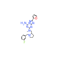 CN(CC1CCCN1Cc1cccc(F)c1)c1nc(N)n2nc(-c3ccco3)nc2n1